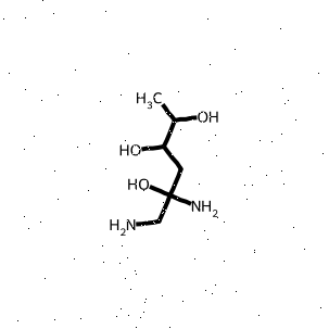 CC(O)C(O)CC(N)(O)CN